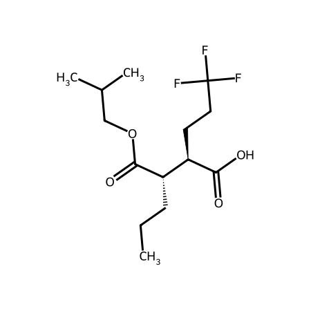 CCC[C@H](C(=O)OCC(C)C)[C@@H](CCC(F)(F)F)C(=O)O